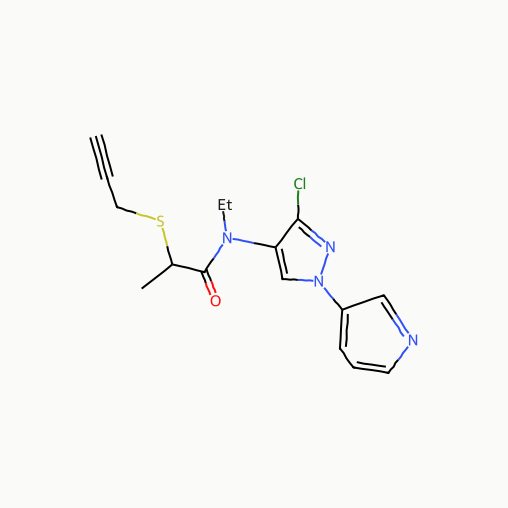 C#CCSC(C)C(=O)N(CC)c1cn(-c2cccnc2)nc1Cl